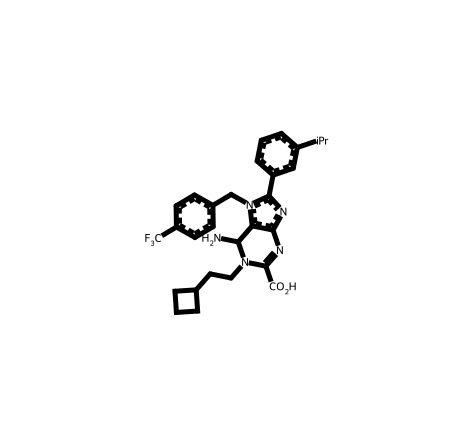 CC(C)c1cccc(-c2nc3c(n2Cc2ccc(C(F)(F)F)cc2)C(N)N(CCC2CCC2)C(C(=O)O)=N3)c1